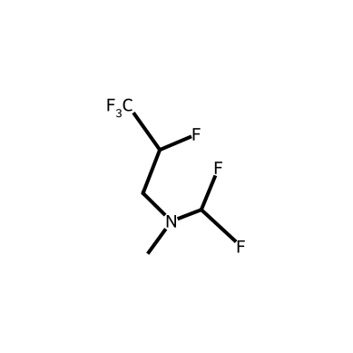 CN(CC(F)C(F)(F)F)C(F)F